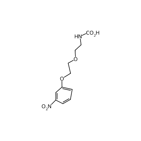 O=C(O)NCCOCCOc1cccc([N+](=O)[O-])c1